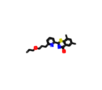 CCCOCCCc1cccc(-c2nc(=O)c3cc(C)cc(C)c3s2)n1